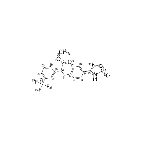 COC(=O)C(Cc1ccc(-c2noc(=O)[nH]2)cc1)c1cccc(C(F)(F)F)c1